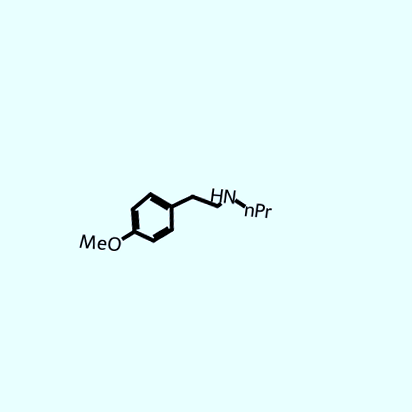 CCCNCCc1ccc(OC)cc1